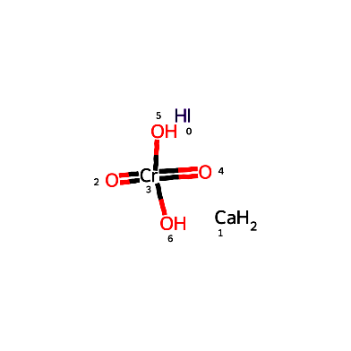 I.[CaH2].[O]=[Cr](=[O])([OH])[OH]